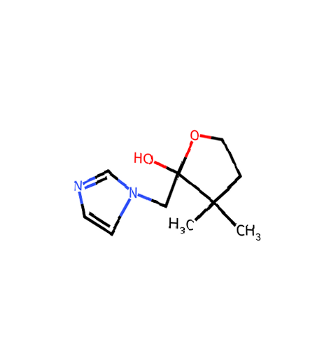 CC1(C)CCOC1(O)Cn1ccnc1